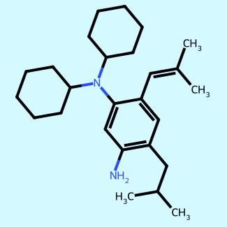 CC(C)=Cc1cc(CC(C)C)c(N)cc1N(C1CCCCC1)C1CCCCC1